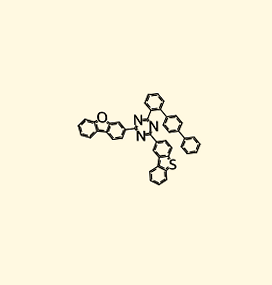 c1ccc(-c2ccc(-c3ccccc3-c3nc(-c4ccc5c(c4)oc4ccccc45)nc(-c4ccc5sc6ccccc6c5c4)n3)cc2)cc1